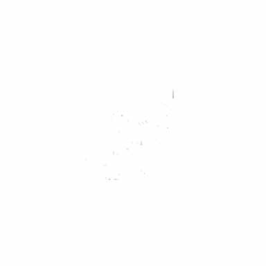 C=CC(=O)N1CC(C)(C)[C@@H]1C#Cc1cnccc1-c1[nH]c2c(c1Nc1cccc(Cl)c1OC)C(=O)NCC2